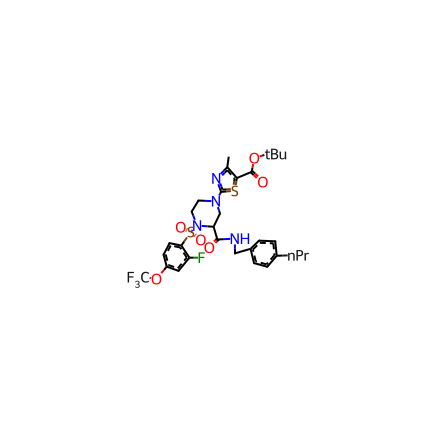 CCCc1ccc(CNC(=O)C2CN(c3nc(C)c(C(=O)OC(C)(C)C)s3)CCN2S(=O)(=O)c2ccc(OC(F)(F)F)cc2F)cc1